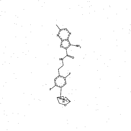 Cc1cnc2c(N)c(C(=O)NCCc3cc(F)c(N4CC5CNCC4CO5)cc3F)sc2n1